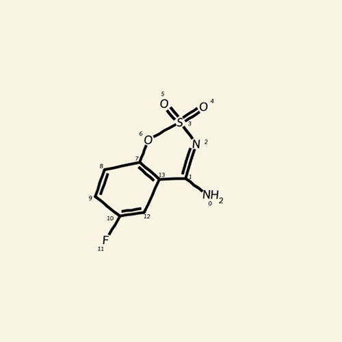 NC1=NS(=O)(=O)Oc2ccc(F)cc21